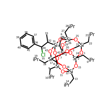 CC(C)C[Si]12O[Si]3(CC(C)C)O[Si]4(CC(C)C)O[Si](CC(C)C)(O1)O[Si]1(CC(C)C)O[Si](CC(C)C)(O2)O[Si](CC(C)C)(O3)O[Si](C(C)C(Cl)c2ccccc2)(O4)O1